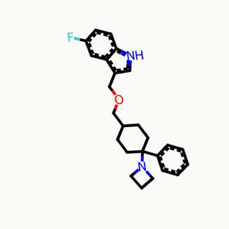 Fc1ccc2[nH]cc(COCC3CCC(c4ccccc4)(N4CCC4)CC3)c2c1